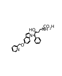 O=C(O)NCC[C@@H](O)[C@H](c1ccccc1)n1ccc2cc(OCc3ccccn3)ccc21